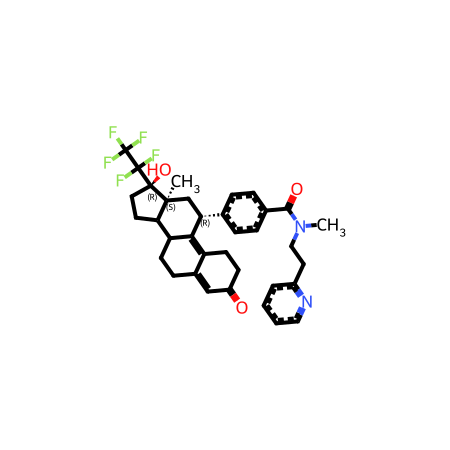 CN(CCc1ccccn1)C(=O)c1ccc([C@H]2C[C@@]3(C)C(CC[C@]3(O)C(F)(F)C(F)(F)F)C3CCC4=CC(=O)CCC4=C32)cc1